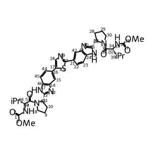 COC(=O)N[C@H](C(=O)N1CCC[C@H]1c1nc2cc(-c3cnc(-c4ccc5[nH]c([C@@H]6CCCN6C(=O)[C@@H](NC(=O)OC)C(C)C)nc5c4)s3)ccc2[nH]1)C(C)C